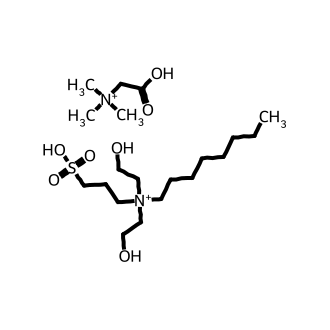 CCCCCCCC[N+](CCO)(CCO)CCCS(=O)(=O)O.C[N+](C)(C)CC(=O)O